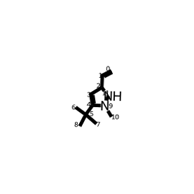 C=CC1C=C(C(C)(C)C)N(C)N1